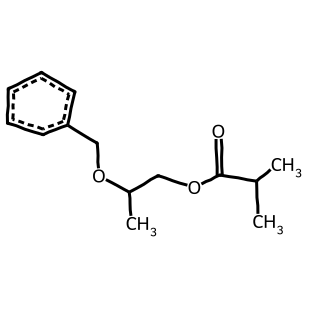 CC(COC(=O)C(C)C)OCc1ccccc1